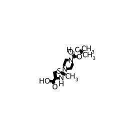 CC(C)(C)OC(=O)N1CCN(C2(C)NC(C(=O)O)=CS2)CC1